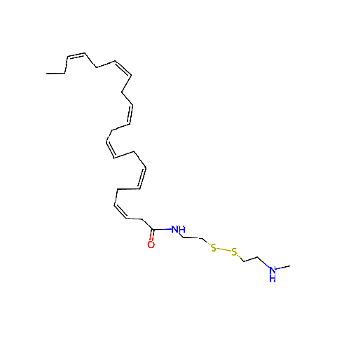 CC/C=C\C/C=C\C/C=C\C/C=C\C/C=C\C/C=C\CC(=O)NCCSSCCNC